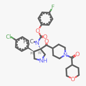 CN(C(=O)Oc1ccc(F)cc1)[C@]1(C(=O)C2CCN(C(=O)C3CCOCC3)CC2)CNC[C@H]1c1ccc(Cl)cc1